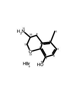 Br.Cc1ccc(O)c2c1CC(N)CO2